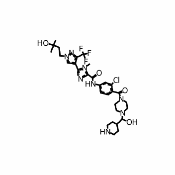 Cn1c(-c2cn(CCC(C)(C)O)nc2C(F)(F)F)cnc1C(=O)Nc1ccc(C(=O)N2CCN(C(O)C3CCNCC3)CC2)c(Cl)c1